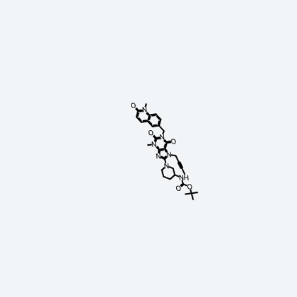 CC#CCn1c(N2CCCC(NC(=O)OC(C)(C)C)C2)nc2c1c(=O)n(Cc1ccc3c(ccc(=O)n3C)c1)c(=O)n2C